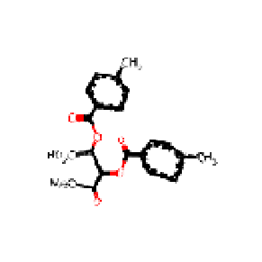 COC(=O)C(OC(=O)c1ccc(C)cc1)C(OC(=O)c1ccc(C)cc1)C(=O)O